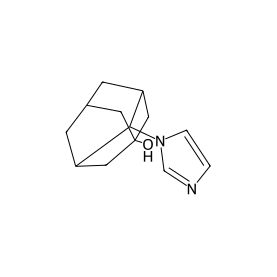 OC12CC3CC(C1)C(n1ccnc1)C(C3)C2